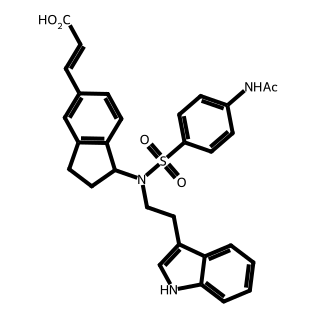 CC(=O)Nc1ccc(S(=O)(=O)N(CCc2c[nH]c3ccccc23)C2CCc3cc(C=CC(=O)O)ccc32)cc1